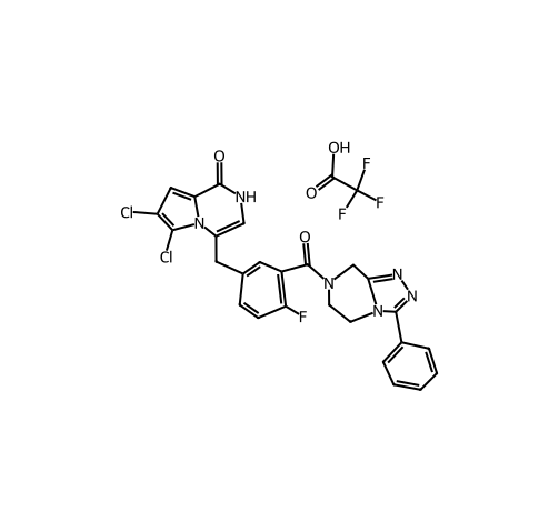 O=C(O)C(F)(F)F.O=C(c1cc(Cc2c[nH]c(=O)c3cc(Cl)c(Cl)n23)ccc1F)N1CCn2c(nnc2-c2ccccc2)C1